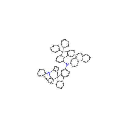 c1ccc(C2(c3ccccc3)c3ccccc3-c3c(N(c4ccc5c(c4)C4(c6ccccc6-5)c5ccccc5-n5c6ccccc6c6cccc4c65)c4ccc5c(ccc6ccccc65)c4)cccc32)cc1